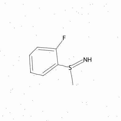 CS(=N)c1ccccc1F